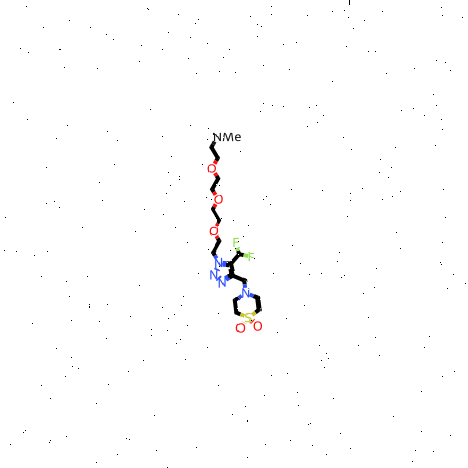 CNCCOCCOCCOCCn1nnc(CN2CCS(=O)(=O)CC2)c1C(F)F